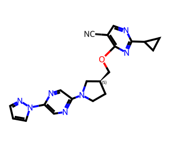 N#Cc1cnc(C2CC2)nc1OC[C@H]1CCN(c2cnc(-n3cccn3)cn2)C1